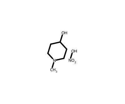 CN1CCC(O)CC1.O=[N+]([O-])O